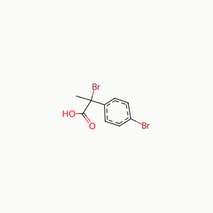 CC(Br)(C(=O)O)c1ccc(Br)cc1